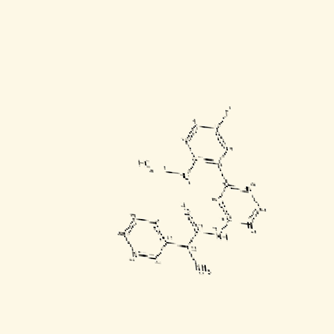 COc1ccc(F)cc1-c1cc(NC(=O)C(N)c2cccnc2)ncn1.Cl